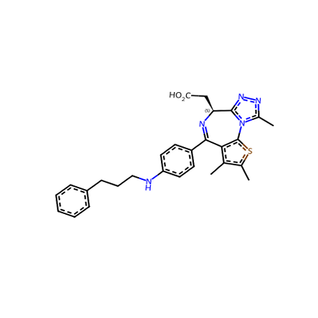 Cc1sc2c(c1C)C(c1ccc(NCCCc3ccccc3)cc1)=N[C@@H](CC(=O)O)c1nnc(C)n1-2